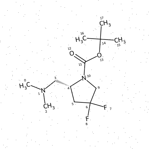 CN(C)C[C@H]1CC(F)(F)CN1C(=O)OC(C)(C)C